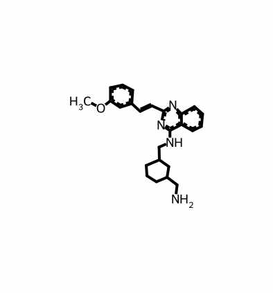 COc1cccc(/C=C/c2nc(NCC3CCCC(CN)C3)c3ccccc3n2)c1